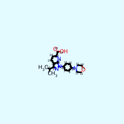 CC(C)c1nn(-c2ccc(N3CCOCC3)cc2)c2nc(C(=O)O)ccc12